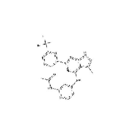 CC(=O)Nc1cc(Nc2nc(-c3cccc(C(F)(F)I)n3)nc3[nH]cc(C)c23)ccn1